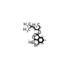 CCC(CCC(C)C)OC(=O)c1cccc(Br)c1C(=O)O